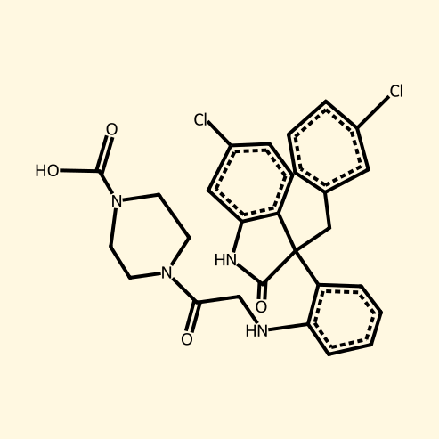 O=C(O)N1CCN(C(=O)CNc2ccccc2C2(Cc3cccc(Cl)c3)C(=O)Nc3cc(Cl)ccc32)CC1